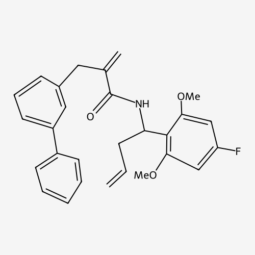 C=CCC(NC(=O)C(=C)Cc1cccc(-c2ccccc2)c1)c1c(OC)cc(F)cc1OC